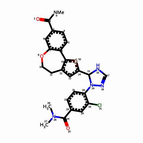 CNC(=O)c1ccc2c(c1)OCCc1cc(C3NC=NN3c3ccc(C(=O)N(C)C)cc3Cl)sc1-2